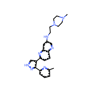 Cc1cccc(-c2n[nH]cc2-c2ccc3ncc(NCCN4CCN(C)CC4)cc3n2)n1